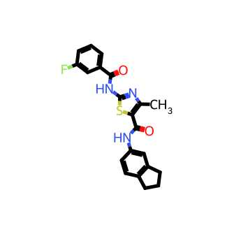 Cc1nc(NC(=O)c2cccc(F)c2)sc1C(=O)Nc1ccc2c(c1)CCC2